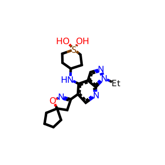 CCn1ncc2c(NC3CCS(O)(O)CC3)c(C3=NOC4(CCCC4)C3)cnc21